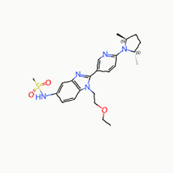 CCOCCn1c(-c2ccc(N3[C@@H](C)CC[C@@H]3C)nc2)nc2cc(NS(C)(=O)=O)ccc21